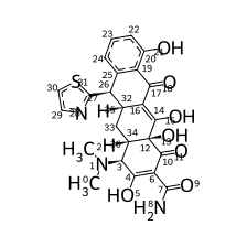 CN(C)[C@@H]1C(O)=C(C(N)=O)C(=O)[C@@]2(O)C(O)=C3C(=O)c4c(O)cccc4[C@H](c4nccs4)[C@H]3C[C@@H]12